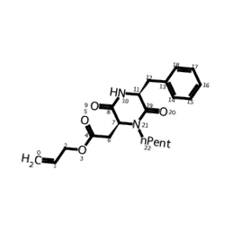 C=CCOC(=O)C[C@H]1C(=O)N[C@@H](Cc2ccccc2)C(=O)N1CCCCC